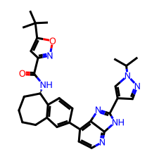 CC(C)n1cc(-c2nc3c(-c4ccc5c(c4)CCCC[C@@H]5NC(=O)c4cc(C(C)(C)C)on4)ccnc3[nH]2)cn1